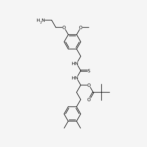 COc1cc(CNC(=S)NC(CCc2ccc(C)c(C)c2)OC(=O)C(C)(C)C)ccc1OCCN